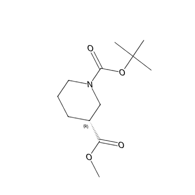 COC(=O)[C@@H]1CCCN(C(=O)OC(C)(C)C)C1